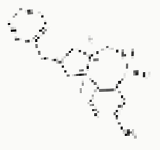 Nc1ccc2c(c1)C(=O)NC[C@@H]1CN(Cc3ccccc3)C[C@H]21